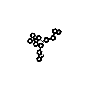 c1ccc(C2(c3ccccc3)c3ccccc3-c3c(N(c4ccc(-c5cccc(-c6cccc7ccccc67)c5)cc4)c4ccc(-c5ccc6c(c5)oc5ccccc56)cc4)cccc32)cc1